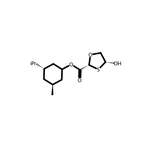 CC(C)[C@@H]1CC(OC(=O)[C@@H]2OC[C@H](O)S2)C[C@@H](C)C1